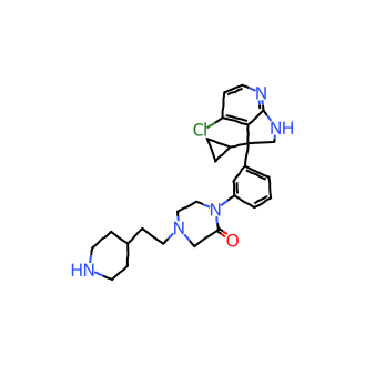 O=C1CN(CCC2CCNCC2)CCN1c1cccc(C2(C3CC3)CNc3nccc(Cl)c32)c1